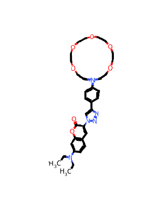 CCN(CC)c1ccc2cc(-n3cc(-c4ccc(N5CCOCCOCCOCCOCCOCC5)cc4)nn3)c(=O)oc2c1